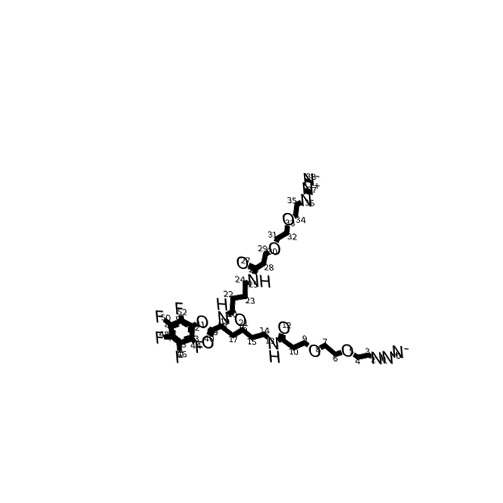 [N-]=[N+]=NCCOCCOCCC(=O)NCCCCC(NC(=O)CCCNC(=O)CCOCCOCCN=[N+]=[N-])C(=O)Oc1c(F)c(F)c(F)c(F)c1F